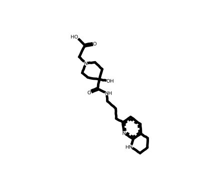 O=C(O)CN1CCC(O)(C(=O)NCCCc2ccc3c(n2)NCCC3)CC1